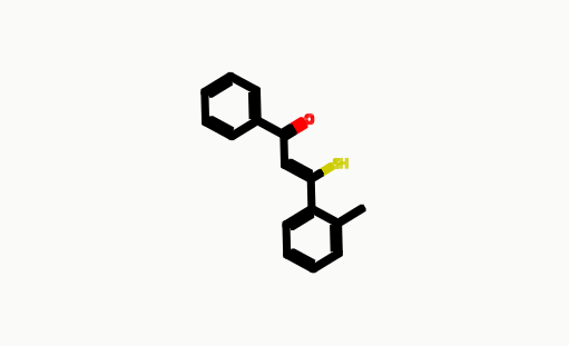 Cc1ccccc1C(S)=CC(=O)c1ccccc1